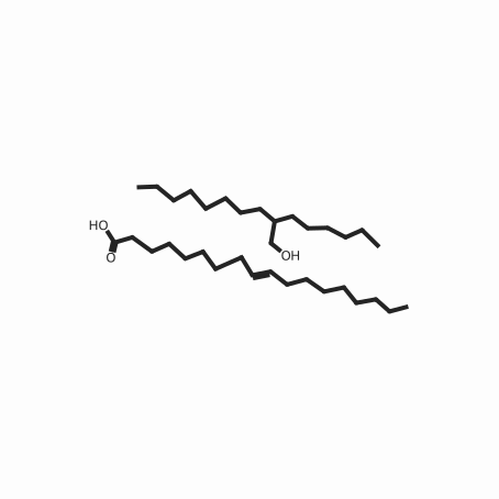 CCCCCCCCC(CO)CCCCCC.CCCCCCCCC=CCCCCCCCC(=O)O